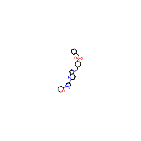 O=S(=O)(Cc1ccccc1)N1CCC(Cn2ccc3nc(-c4cnn(C5CCCCO5)c4)ccc32)CC1